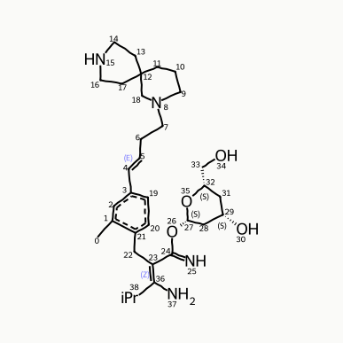 Cc1cc(/C=C/CCN2CCCC3(CCNCC3)C2)ccc1C/C(C(=N)O[C@H]1C[C@@H](O)C[C@@H](CO)O1)=C(/N)C(C)C